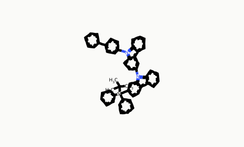 CC(C)(C)[Si](c1ccccc1)(c1ccccc1)c1ccc2c3ccccc3n(-c3ccc4c(c3)c3ccccc3n4-c3ccc(-c4ccccc4)cc3)c2c1